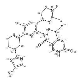 CC1CN(c2cc(F)c(C3=CCCN(c4ncc(C#N)s4)C3)cc2NC(=O)c2c[nH]c(=O)cc2C(F)F)CCN1C